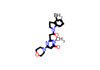 Bc1cccc2c1CCN2C(=O)Cc1nc(N2CCOCC2)cc(=O)n1C